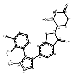 Cc1c(F)cccc1-c1c(-c2ccc3c(c2)CN(C2CCC(=O)NC2=O)C3=O)cnn1C